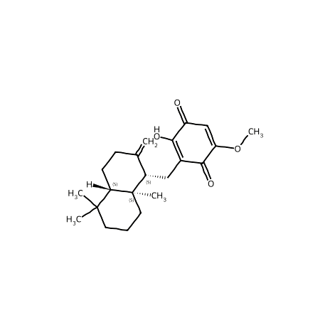 C=C1CC[C@H]2C(C)(C)CCC[C@]2(C)[C@H]1CC1=C(O)C(=O)C=C(OC)C1=O